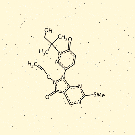 C=CCn1c(=O)c2cnc(SC)nc2n1-c1ccc(=O)n(C(C)(C)CO)n1